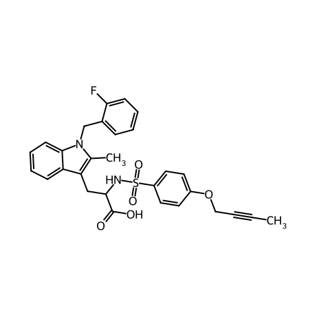 CC#CCOc1ccc(S(=O)(=O)NC(Cc2c(C)n(Cc3ccccc3F)c3ccccc23)C(=O)O)cc1